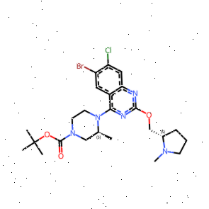 C[C@H]1CN(C(=O)OC(C)(C)C)CCN1c1nc(OC[C@@H]2CCCN2C)nc2cc(Cl)c(Br)cc12